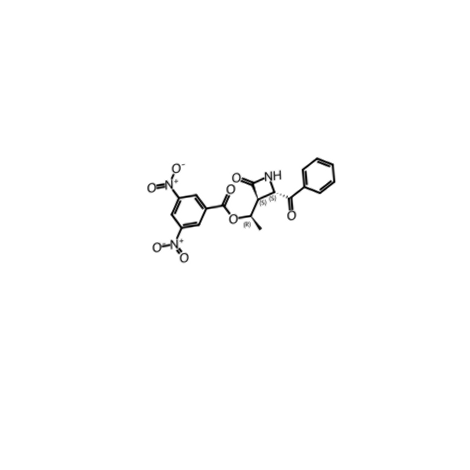 C[C@@H](OC(=O)c1cc([N+](=O)[O-])cc([N+](=O)[O-])c1)[C@H]1C(=O)N[C@@H]1C(=O)c1ccccc1